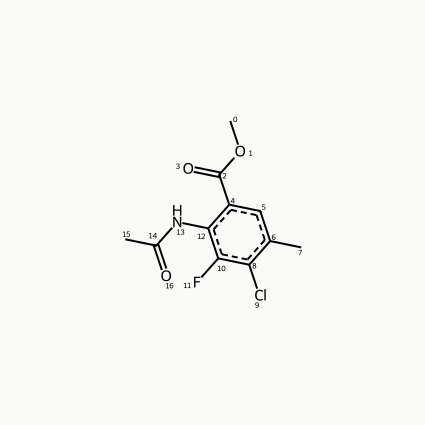 COC(=O)c1cc(C)c(Cl)c(F)c1NC(C)=O